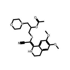 COc1cc2c(cc1OC)C(=C(C#N)SCC(CN1CCOCC1)OC(C)=O)NCC2